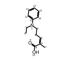 CCN(CCC=C(C)C(=O)O)c1ccccc1